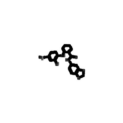 O=C(Nc1ccc2c(c1)OCO2)c1ccccc1Nc1ccc([N+](=O)[O-])cc1Cl